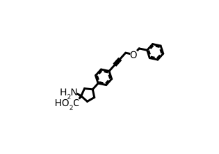 NC1(C(=O)O)CCC(c2ccc(C#CCOCc3ccccc3)cc2)C1